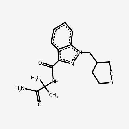 CC(C)(NC(=O)c1nn(CC2CCOCC2)c2ccccc12)C(N)=O